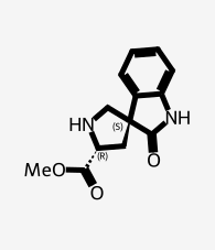 COC(=O)[C@H]1C[C@]2(CN1)C(=O)Nc1ccccc12